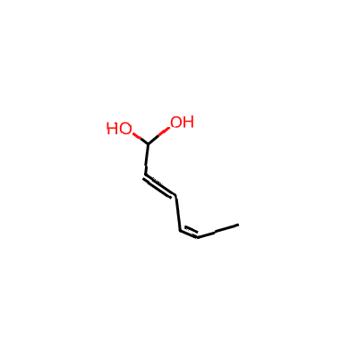 C/C=C\C=C\C(O)O